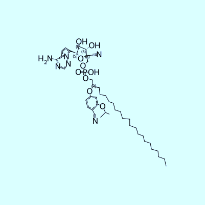 CCCCCCCCCCCCCCCCCCCC[C@H](COP(=O)(O)OC[C@@]1(C#N)O[C@@H](c2ccc3c(N)ncnn23)[C@H](O)[C@@H]1O)Oc1ccc(C#N)c(OC(C)C)c1